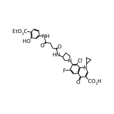 CCOC(=O)c1ccc(NC(=O)CCC(=O)NC2CCN(c3c(F)cc4c(=O)c(C(=O)O)cn(C5CC5)c4c3Cl)C2)cc1O